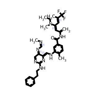 C=C(/C=C(\C=C(/C)C(F)(F)F)N(C)CC)NC(=O)c1ccc(C)c(N\C=C2/N=C(NCCc3ccccc3)N=C/C2=N/C=N\C)c1